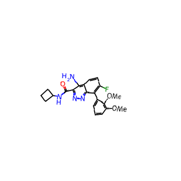 COc1cccc(-c2c(F)ccc3c(N)c(C(=O)NC4CCC4)nnc23)c1OC